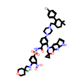 CC1(C)CCC(CN2CCN(c3ccc(C(=O)NS(=O)(=O)c4ccc(NCC5(F)CCOCC5)c([N+](=O)[O-])c4)c(N4CC5(CC5)Oc5nc6[nH]ccc6cc54)c3)CC2)=C(c2ccc(Cl)cc2)C1